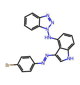 Brc1ccc(N=Nc2c[nH]c3cccc(Nn4nnc5ccccc54)c23)cc1